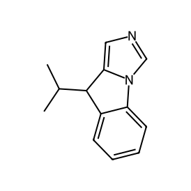 CC(C)C1c2ccccc2-n2cncc21